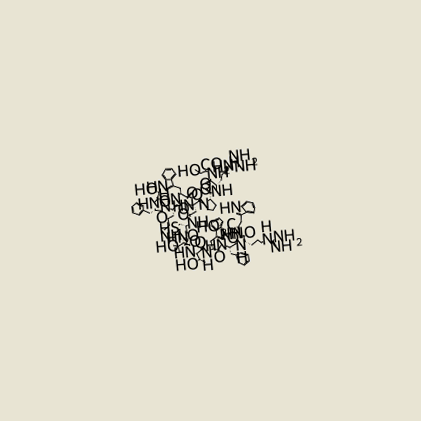 C[C@@H](O)[C@H](NC(=O)[C@H](CS)NC(=O)C[C@H](NC(=O)[C@H](Cc1c[nH]c2ccccc12)NC(=O)[C@H](CCCCN)NC(=O)[C@H](Cc1ccccc1)NC(=O)CO)C(=O)N1CCC[C@H]1C(=O)N[C@@H](CCCNC(=N)N)C(=O)N[C@@H](CO)C(=O)O)C(=O)N[C@H](C(=O)N[C@@H](Cc1c[nH]c2ccccc12)C(=O)N[C@@H](Cc1ccccc1)C(=O)N[C@@H](CCCNC(=N)N)C(=O)N[C@@H](Cc1c[nH]c2ccccc12)C(=O)O)[C@@H](C)O